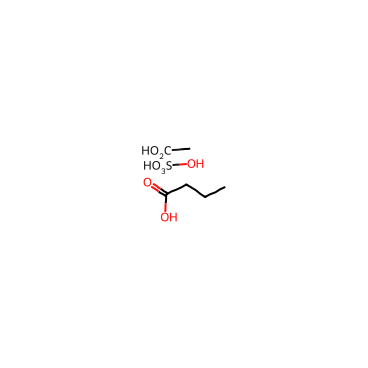 CC(=O)O.CCCC(=O)O.O=S(=O)(O)O